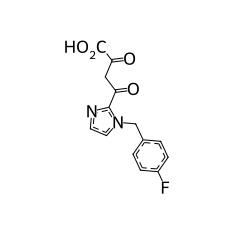 O=C(O)C(=O)CC(=O)c1nccn1Cc1ccc(F)cc1